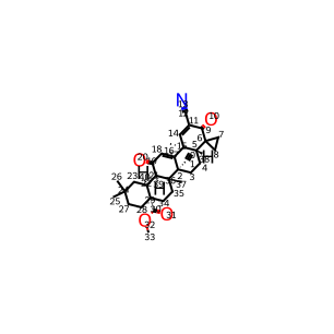 C#C[C@@]12CC[C@H]3C4(CC4)C(=O)C(C#N)=C[C@]3(C)C1=CC(=O)[C@@H]1[C@@H]3CC(C)(C)CC[C@]3(C(=O)OC)CC[C@]12C